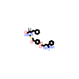 CCc1c(CC2CCCCC2)nc(SCC(=O)c2ccc(OC(=O)C(N)Cc3c[nH]c4ccccc34)cc2)[nH]c1=O